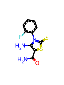 NC(=O)c1sc(=S)n(-c2ccccc2F)c1N